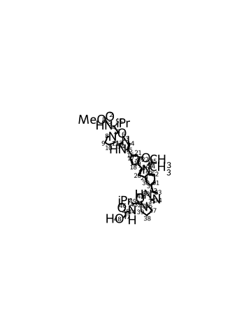 COC(=O)N[C@H](C(=O)N1CCC[C@H]1c1ncc(-c2ccc3c(c2)OC(C)(C)n2c-3cc3cc(-c4cnc([C@@H]5CCCN5C(=O)[C@@H](NC(=O)CO)C(C)C)[nH]4)ccc32)[nH]1)C(C)C